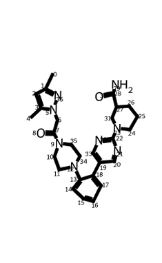 Cc1cc(C)n(CC(=O)N2CCN(c3ccccc3-c3cnc(N4CCCC(C(N)=O)C4)nc3)CC2)n1